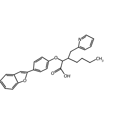 CCCCC(Cc1ccccn1)C(Oc1ccc(-c2cc3ccccc3o2)cc1)C(=O)O